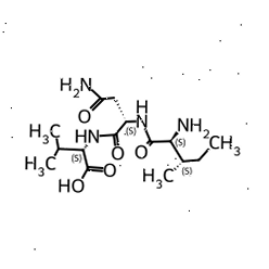 CC[C@H](C)[C@H](N)C(=O)N[C@@H](CC(N)=O)C(=O)N[C@H](C(=O)O)C(C)C